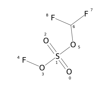 O=S(=O)(OF)OC(F)F